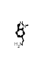 Cn1ncc2ccc(CN)cc21